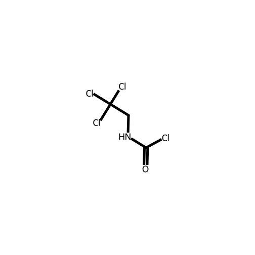 O=C(Cl)NCC(Cl)(Cl)Cl